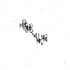 O=C1CCC(N2C(=O)c3ccc(CNCCCn4cc(-c5cnc6ccccc6n5)c(C5CC5)n4)cc3C2=O)C(=O)N1